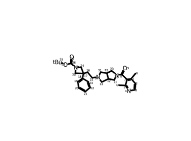 Cc1ccnc(C)c1C(=O)N1CC2CN(CCC3(c4ccccc4)CN(C(=O)OC(C)(C)C)C3)CC2C1